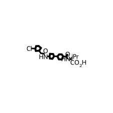 CC(C)[C@H](NC(=O)c1ccc(-c2ccc(NC(=O)Cc3cccc(Cl)c3)cc2)cc1)C(=O)O